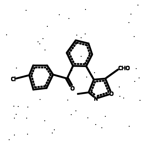 Cc1noc(C=O)c1-c1ccccc1C(=O)c1ccc(Cl)cc1